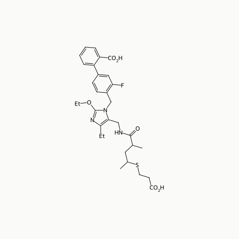 CCOc1nc(CC)c(CNC(=O)C(C)CC(C)SCCC(=O)O)n1Cc1ccc(-c2ccccc2C(=O)O)cc1F